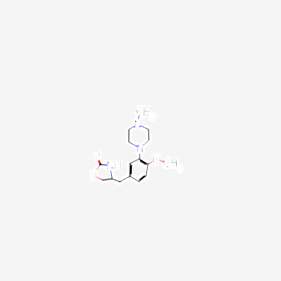 COc1ccc(CC2COC(=O)N2)cc1N1CCN(C)CC1